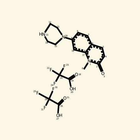 Cn1c(=O)ccc2ccc(N3CCNCC3)cc21.O=C(O)C(F)(F)F.O=C(O)C(F)(F)F